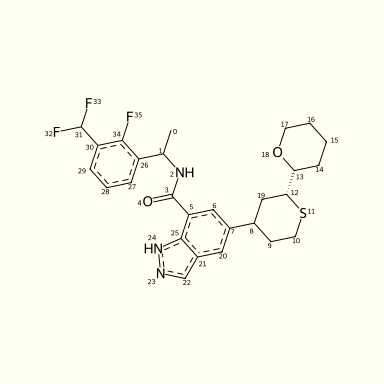 CC(NC(=O)c1cc(C2CCS[C@@H](C3CCCCO3)C2)cc2cn[nH]c12)c1cccc(C(F)F)c1F